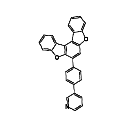 c1cncc(-c2ccc(-c3cc4oc5ccccc5c4c4c3oc3ccccc34)cc2)c1